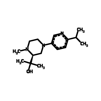 CC(C)c1ccc(N2CCN(C)[C@H](C(C)(C)O)C2)cn1